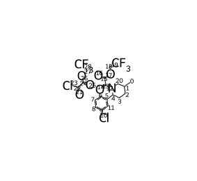 CC1CCC(c2cccc(Cl)c2)N(C(=O)C(=O)OCC(F)(F)F)C1.O=C(Cl)C(=O)OCC(F)(F)F